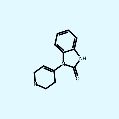 O=c1[nH]c2ccccc2n1C1=CC[N]CC1